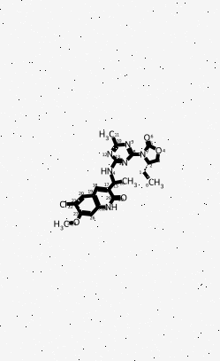 CC[C@H]1COC(=O)N1c1nc(C)nc(NC(C)c2cc3cc(Cl)c(OC)cc3[nH]c2=O)n1